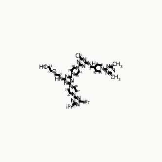 Cc1nc(C)nc(N2CCC(CNc3nc(Cl)nc(N4CCN(c5nc(NCCOCCO)nc(N6CCN(c7nc(C(C)C)nc(C(C)C)n7)CC6)n5)CC4)n3)CC2)n1